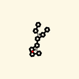 c1ccc(-c2cccc(-n3c4ccc(-c5ccc6c(c5)c5ccccc5n6-c5ccccc5-c5ccccc5)cc4c4ccc(-c5ccccc5)cc43)c2)cc1